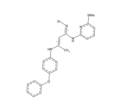 CC/N=C(\C=C(/C)Nc1ccc(Oc2ccccc2)cc1)Nc1cccc(NC)n1